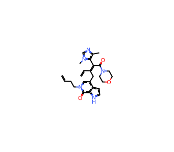 C=CCCn1cc(C/C(C=C)=C(\C(=O)N2CCOCC2)c2c(C)ncn2C)c2cc[nH]c2c1=O